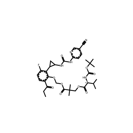 CCC(=O)c1ccc(F)c(C2CC2NC(=O)Nc2ccc(C#N)cn2)c1OCOC(=O)C(C)(C)COC(=O)[C@@H](NC(=O)OC(C)(C)C)C(C)C